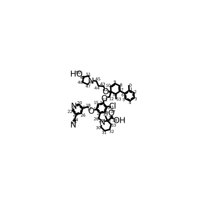 Cc1ccccc1C1=CC=CC(COc2cc(OCc3cncc(C#N)c3)c(CN3CCCCC3(C)C(=O)O)cc2Cl)(OCCCN2CC[C@@H](O)C2)C1C